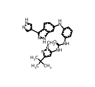 Cn1nc(C(C)(C)C)cc1NC(=O)Nc1cccc(Nc2ccc3c(-c4cn[nH]c4)n[nH]c3c2)c1